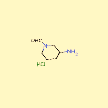 Cl.NC1CCCN(C=O)C1